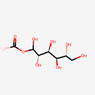 BC(=O)OC(O)[C@@H](O)[C@@H](O)[C@H](O)[C@H](O)CO